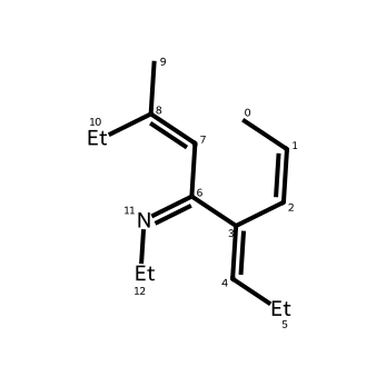 C\C=C/C(=C\CC)C(/C=C(/C)CC)=N\CC